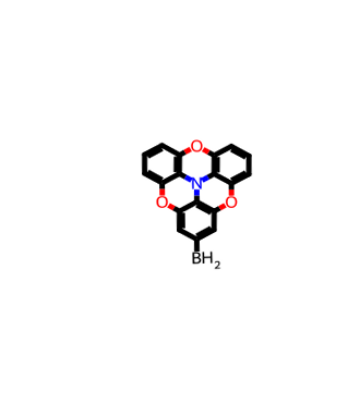 Bc1cc2c3c(c1)Oc1cccc4c1N3c1c(cccc1O2)O4